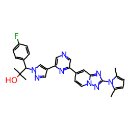 Cc1ccc(C)n1-c1nc2cc(-c3cncc(-c4cnn(C(c5ccc(F)cc5)C(C)(C)O)c4)n3)ccn2n1